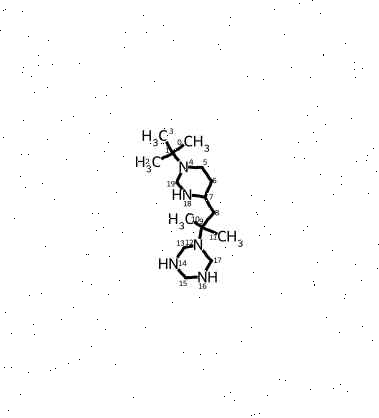 CC(C)(C)N1CCC(CC(C)(C)N2CNCNC2)NC1